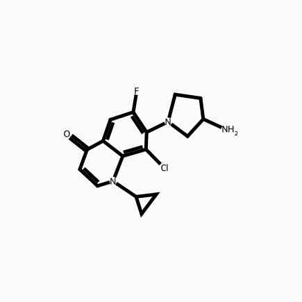 NC1CCN(c2c(F)cc3c(=O)ccn(C4CC4)c3c2Cl)C1